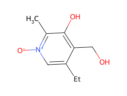 CCc1c[n+]([O-])c(C)c(O)c1CO